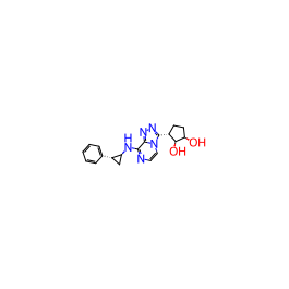 O[C@@H]1[C@H](O)CC[C@H]1c1nnc2c(N[C@H]3C[C@@H]3c3ccccc3)nccn12